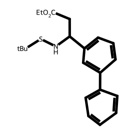 CCOC(=O)CC(NSC(C)(C)C)c1cccc(-c2ccccc2)c1